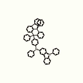 c1ccc(N(c2ccc(C3(c4ccccc4)c4ccccc4C4(c5ccccc5)c5ccccc5-c5cccc3c54)cc2)c2ccc3c(c2)c2ccccc2n3-c2ccccc2)cc1